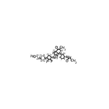 C=CC(=O)Nc1cccc(-n2cc(C)c(=O)c3cnc(Nc4ccc(N5CCN(CCO)CC5)c(F)c4F)nc32)c1